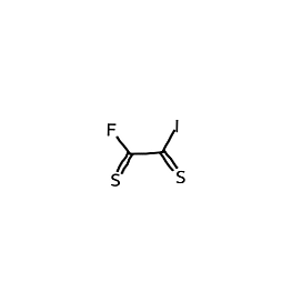 FC(=S)C(=S)I